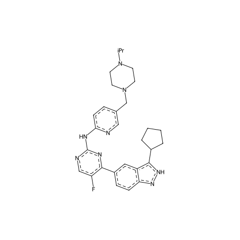 CC(C)N1CCN(Cc2ccc(Nc3ncc(F)c(-c4ccc5n[nH]c(C6CCCC6)c5c4)n3)nc2)CC1